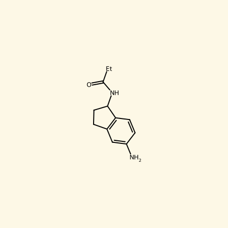 CCC(=O)NC1CCc2cc(N)ccc21